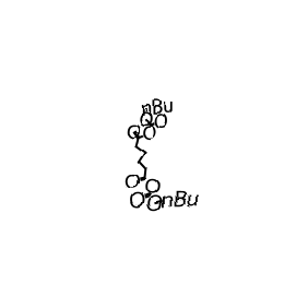 CCCCOC(=O)OC(=O)CCCCC(=O)OC(=O)OCCCC